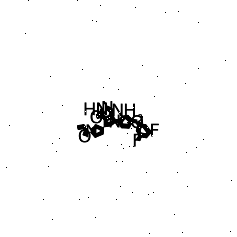 C=CC(=O)N1CC[C@@H](c2cn(-c3ccc(Oc4cc(F)cc(F)c4)cc3)c3c(N)n[nH]c(=O)c23)C1